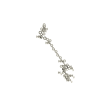 CN(Cc1cnc2nc(N)nc(N)c2n1)c1ccc(N(C=O)[C@@H](CCC(=O)NCCOCCOCCOCCOCCOCCNC(=O)COc2ccc(-c3n[nH]c4c3C(=O)c3c(NC(=O)NN5CCOCC5)cccc3-4)cc2)C(=O)OC(C)(C)C)cc1